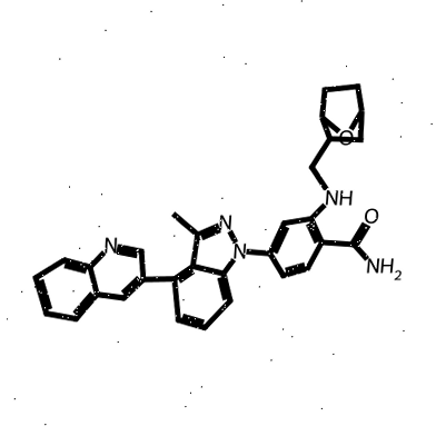 Cc1nn(-c2ccc(C(N)=O)c(NCC3CC4CCC3O4)c2)c2cccc(-c3cnc4ccccc4c3)c12